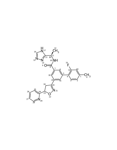 Cc1ccc(-c2cc(C(=O)N[C@H](C)c3nnc[nH]3)cc(C3=NOC(c4ccccn4)C3)c2)c(F)c1